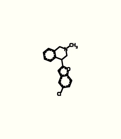 CN1Cc2ccccc2C(c2cc3cc(Cl)ccc3o2)C1